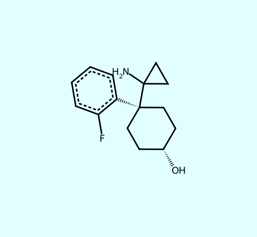 NC1([C@]2(c3ccccc3F)CC[C@@H](O)CC2)CC1